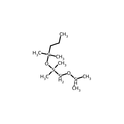 CCC[Si](C)(C)O[Si](C)(C)[SiH2]O[SiH](C)C